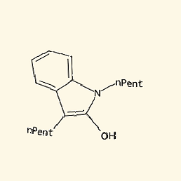 CCCCCc1c(O)n(CCCCC)c2ccccc12